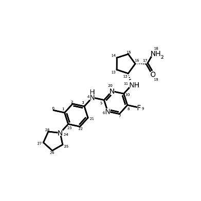 Cc1cc(Nc2ncc(F)c(N[C@@H]3CCC[C@@H]3C(N)=O)n2)ccc1N1CCCC1